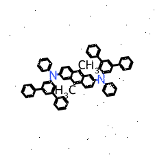 Cc1c2ccc(N(c3ccccc3)c3cc(-c4ccccc4)cc(-c4ccccc4)c3)cc2c(C)c2ccc(N(c3ccccc3)c3cc(-c4ccccc4)cc(-c4ccccc4)c3)cc12